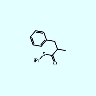 CC(C)SC(=O)C(C)Cc1ccccc1